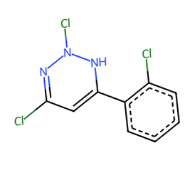 ClC1=NN(Cl)NC(c2ccccc2Cl)=C1